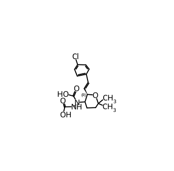 CC1(C)CCC(N(NC(=O)O)C(=O)O)[C@@H](C=Cc2ccc(Cl)cc2)O1